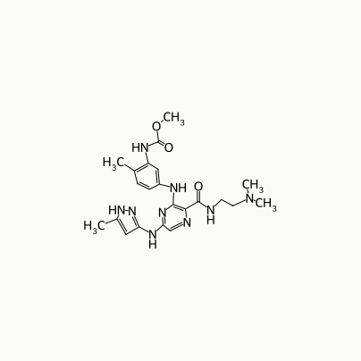 COC(=O)Nc1cc(Nc2nc(Nc3cc(C)[nH]n3)cnc2C(=O)NCCN(C)C)ccc1C